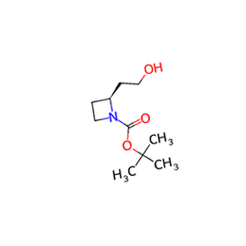 CC(C)(C)OC(=O)N1CC[C@H]1CCO